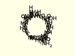 CC(C)C[C@@H]1NC(=O)[C@H](Cc2c[nH]cn2)NC(=O)[C@H](Cc2c[nH]c3ccccc23)NC(=O)[C@H](C)NC(=O)CCCc2cn(nn2)CCCC[C@@H](C(=O)NC(C(N)=O)C(C)C)NC(=O)[C@H](Cc2c[nH]c3ccccc23)NC(=O)C(C(C)C)NC(=O)[C@H](CC(C)C)NC(=O)[C@H](CCC(=O)O)NC(=O)CNC1=O